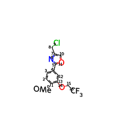 COc1ccc(-c2nc(CCl)co2)cc1OCC(F)(F)F